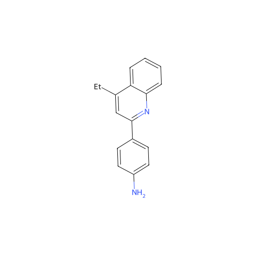 CCc1cc(-c2ccc(N)cc2)nc2ccccc12